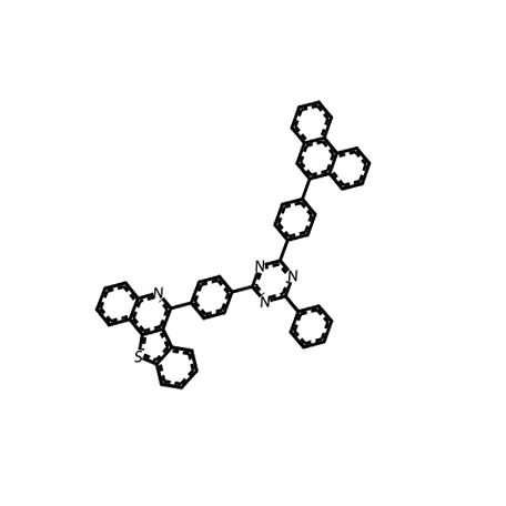 c1ccc(-c2nc(-c3ccc(-c4cc5ccccc5c5ccccc45)cc3)nc(-c3ccc(-c4nc5ccccc5c5sc6ccccc6c45)cc3)n2)cc1